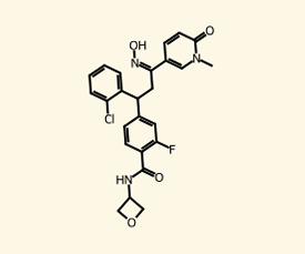 Cn1cc(/C(CC(c2ccc(C(=O)NC3COC3)c(F)c2)c2ccccc2Cl)=N\O)ccc1=O